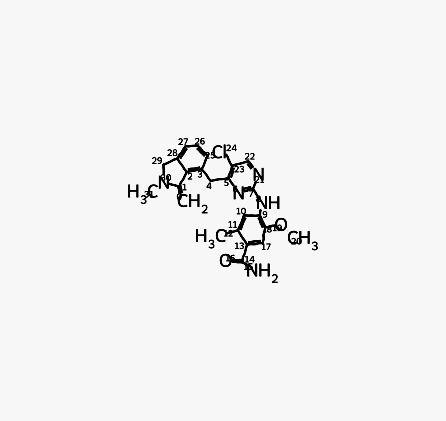 C=C1c2c(Cc3nc(Nc4cc(C)c(C(N)=O)cc4OC)ncc3Cl)cccc2CN1C